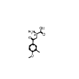 COc1ccc(C(=O)C[C@@H](N)C(=O)O)cc1C